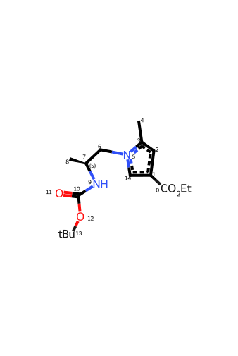 CCOC(=O)c1cc(C)n(C[C@H](C)NC(=O)OC(C)(C)C)c1